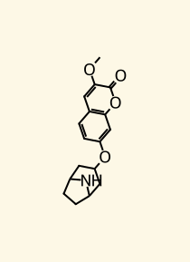 COc1cc2ccc(OC3CC4CCC(C3)N4)cc2oc1=O